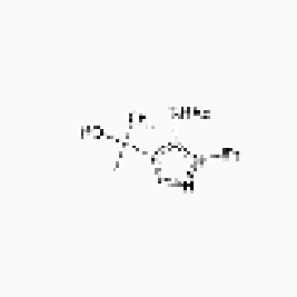 CC(=O)Nc1c(C(C)(O)C(F)(F)F)cnn1C(C)C